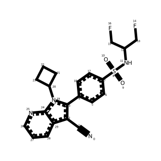 N#Cc1c(-c2ccc(S(=O)(=O)NC(CF)CF)cc2)n(C2CCC2)c2ncccc12